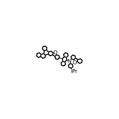 CC(C)c1ccc(N(c2c3ccccc3c(-c3ccc4c(c3)oc3cc5c6ccccc6c6c7ccccc7ccc6c5cc34)c3ccccc23)c2cccc3c2oc2ccccc23)cc1